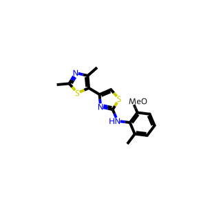 COc1cccc(C)c1Nc1nc(-c2sc(C)nc2C)cs1